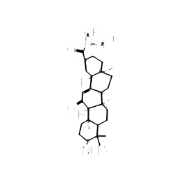 CCON(C(=O)[C@@]1(C)CC[C@]2(C)CC[C@]3(C)C(=CC(=O)[C@@H]4[C@@]5(C)CC[C@H](NC(C)=O)C(C)(C)C5CC[C@]43C)[C@@H]2C1)C(F)(F)F